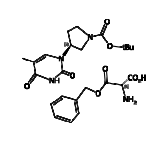 Cc1cn([C@H]2CCN(C(=O)OC(C)(C)C)C2)c(=O)[nH]c1=O.N[C@@H](C(=O)O)C(=O)OCc1ccccc1